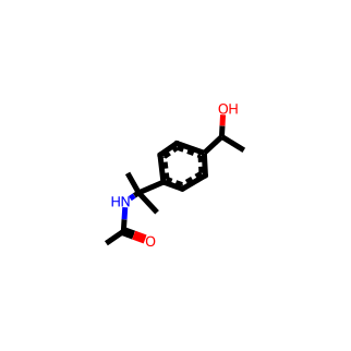 CC(=O)NC(C)(C)c1ccc(C(C)O)cc1